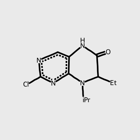 CCC1C(=O)Nc2cnc(Cl)nc2N1C(C)C